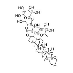 CC1O[C@@H](O[C@H]2C(O)[C@H](O[C@@H]3OC(O)[C@H](O)C(O)[C@@H]3O)C(CO)O[C@H]2OC2CC[C@@]3(C)C(=CC[C@H]4[C@@H]5C[C@@H]6O[C@]7(CC[C@@H](C)CO7)[C@@H](C)[C@@H]6[C@@]5(C)CC[C@@H]43)C2)[C@@H](O)C(O)[C@H]1O